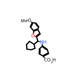 COc1ccc2cc(C(Nc3ccc(C(=O)O)cc3)C3CCCCC3)oc2c1